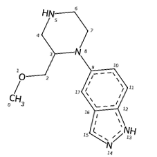 COCC1CNCCN1c1ccc2[nH]ncc2c1